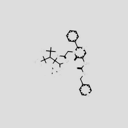 CC(C)C(NC(=O)Cn1c(-c2ccccc2)ncc(NC(=O)NCc2ccncc2)c1=O)(O[SiH](C)C)C(C(C)(C)C)C(F)(F)F